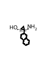 NC[C@@]1(c2ccc3ccccc3c2)C[C@H]1CO